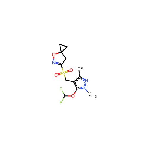 Cn1nc(C(F)(F)F)c(CS(=O)(=O)C2=NOC3(CC3)C2)c1OC(F)F